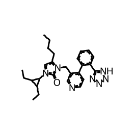 CCCCc1cn(C2C(CC)C2CC)c(=O)n1Cc1cnccc1-c1ccccc1-c1nnn[nH]1